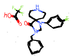 O=C(O)C(F)(F)F.O=C1N(Cc2ccccc2)CN(c2ccc(F)cc2)C12CCNCC2